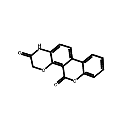 O=C1COc2c(ccc3c2c(=O)oc2ccccc23)N1